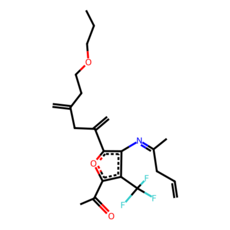 C=CC/C(C)=N\c1c(C(=C)CC(=C)CCOCCC)oc(C(C)=O)c1C(F)(F)F